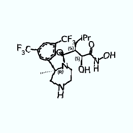 CC(C)C[C@H](C(=O)N1CCNC[C@@]1(C)c1cc(C(F)(F)F)cc(C(F)(F)F)c1)[C@H](O)C(=O)NO